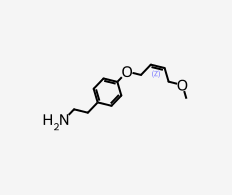 COC/C=C\COc1ccc(CCN)cc1